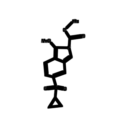 COc1c2ccc(S(=O)(=O)C3CC3)cc2cn1C(=O)OC(C)(C)C